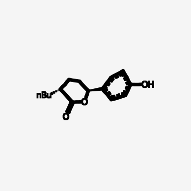 CCCC[C@@H]1CC[C@@H](c2ccc(O)cc2)OC1=O